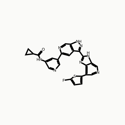 O=C(Nc1cncc(-c2cc3c(-c4nc5c(-c6ccc(F)s6)cncc5[nH]4)n[nH]c3cn2)c1)C1CC1